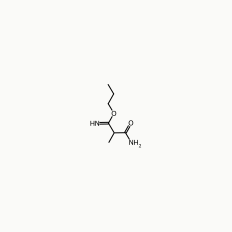 CCCOC(=N)C(C)C(N)=O